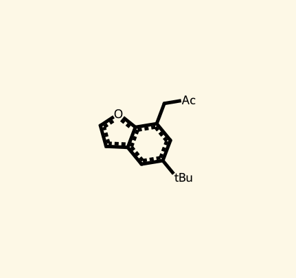 CC(=O)Cc1cc(C(C)(C)C)cc2ccoc12